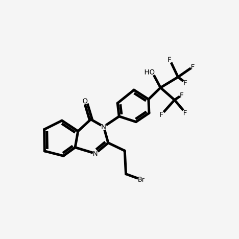 O=c1c2ccccc2nc(CCBr)n1-c1ccc(C(O)(C(F)(F)F)C(F)(F)F)cc1